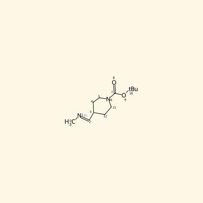 C/N=C/C1CCN(C(=O)OC(C)(C)C)CC1